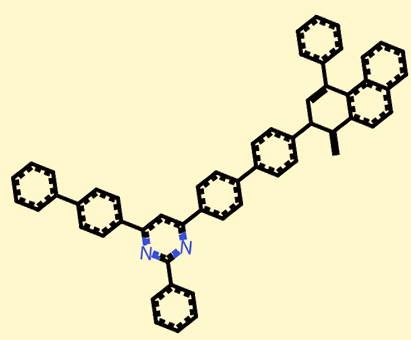 C=C1c2ccc3ccccc3c2C(c2ccccc2)=CC1c1ccc(-c2ccc(-c3cc(-c4ccc(-c5ccccc5)cc4)nc(-c4ccccc4)n3)cc2)cc1